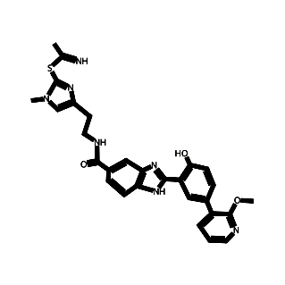 COc1ncccc1-c1ccc(O)c(-c2nc3cc(C(=O)NCCc4cn(C)c(SC(C)=N)n4)ccc3[nH]2)c1